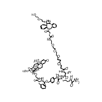 CCCC1O[C@@H]2C[C@H]3[C@@H]4CCC5=CC(=O)C=C[C@]5(C)[C@H]4[C@@H](O)C[C@]3(C)[C@]2(C(=O)COCNC(=O)[C@@H](Cc2ccccc2)NC(=O)OCc2ccc(NC(=O)[C@@H](CCCNC(N)=O)NC(=O)[C@H](NC(=O)CCOCCOCCOCCOCCNC(=O)CCC(=O)N3Cc4ccccc4-c4nnn(CCOCCO)c4-c4ccccc43)C(C)C)cc2)O1